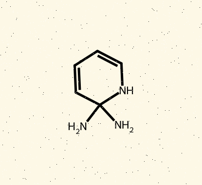 NC1(N)C=CC=CN1